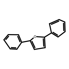 c1ccc(-c2ccc(-c3ccccc3)o2)cc1